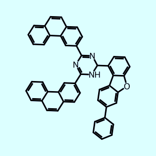 c1ccc(-c2ccc3c(c2)oc2cccc(C4N=C(c5ccc6ccc7ccccc7c6c5)N=C(c5ccc6ccc7ccccc7c6c5)N4)c23)cc1